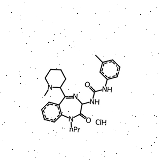 CCCN1C(=O)C(NC(=O)Nc2cccc(C)c2)N=C(C2CCCCN2C)c2ccccc21.Cl